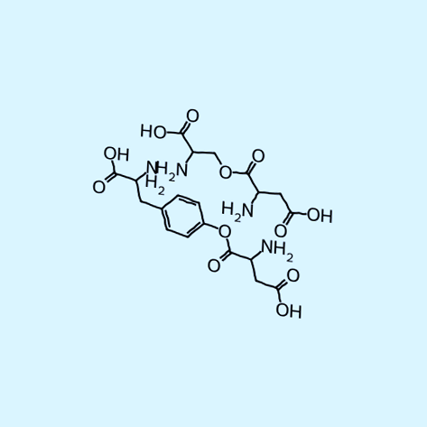 NC(COC(=O)C(N)CC(=O)O)C(=O)O.NC(Cc1ccc(OC(=O)C(N)CC(=O)O)cc1)C(=O)O